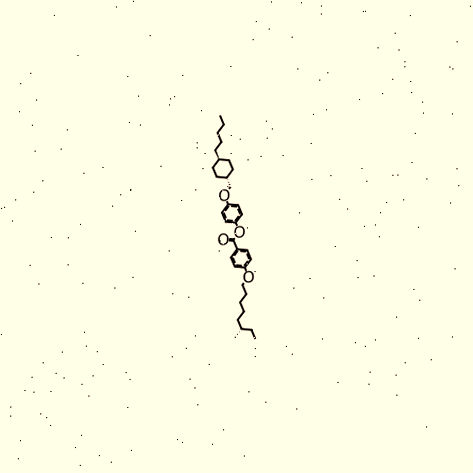 CCCCC[C@H]1CC[C@H](COc2ccc(OC(=O)c3ccc(OCCCCC[C@@H](C)CC)cc3)cc2)CC1